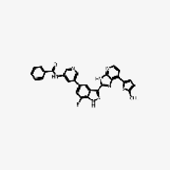 Cc1ccc(-c2ccnc3[nH]c(-c4n[nH]c5c(F)cc(-c6cncc(NC(=O)c7ccccc7)c6)cc45)nc23)s1